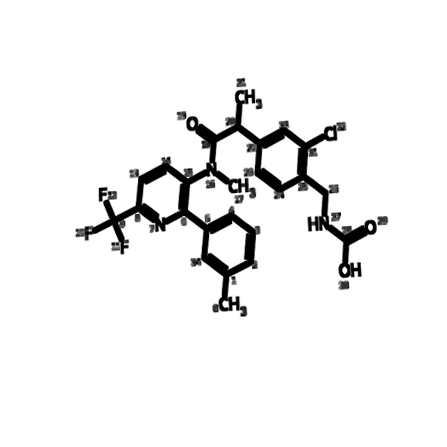 Cc1cccc(-c2nc(C(F)(F)F)ccc2N(C)C(=O)C(C)c2ccc(CNC(=O)O)c(Cl)c2)c1